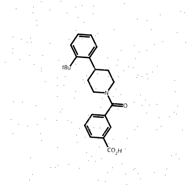 CC(C)(C)c1ccccc1C1CCN(C(=O)c2cccc(C(=O)O)c2)CC1